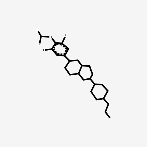 CCCC1CCC(C2CCC3CC(c4cc(F)c(OC(F)F)c(F)c4)CCC3C2)CC1